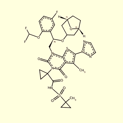 Cc1c(-n2nccn2)sc2c1c(=O)n(C1(C(=O)NS(=O)(=O)C3(C)CC3)CC1)c(=O)n2C[C@H](OC1C[C@H]2CC[C@@H](C1)O2)c1cc(F)ccc1OC(F)F